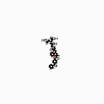 CCC(C)(CC(CC(C)(C)C(=O)Oc1ccc(C(=O)c2ccccc2)cc1)c1ccccc1)C(=O)OCC(O)CN(CC(=O)O)CC(=O)O